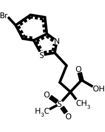 CC(CCc1nc2ccc(Br)cc2s1)(C(=O)O)S(C)(=O)=O